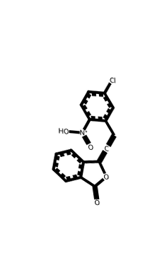 O=C1OC(=C=Cc2cc(Cl)ccc2[N+](=O)O)c2ccccc21